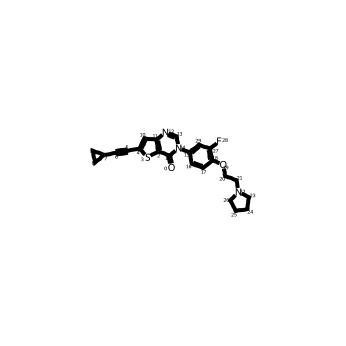 O=c1c2sc(C#CC3CC3)cc2ncn1-c1ccc(OCCN2CCCC2)c(F)c1